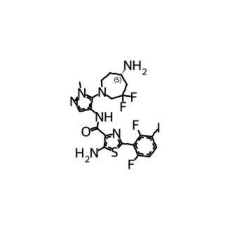 Cn1ncc(NC(=O)c2nc(-c3c(F)ccc(I)c3F)sc2N)c1N1CC[C@H](N)CC(F)(F)C1